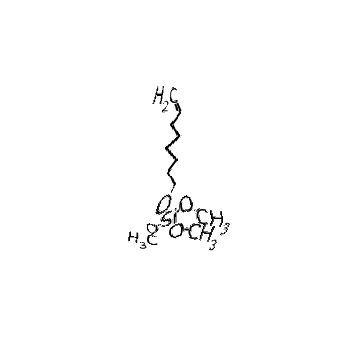 C=CCCCCCCO[Si](OC)(OC)OC